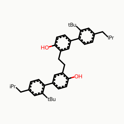 CC(C)Cc1ccc(-c2ccc(O)c(CCc3cc(-c4ccc(CC(C)C)cc4C(C)(C)C)ccc3O)c2)c(C(C)(C)C)c1